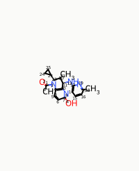 CC(=O)N1c2ccc(O)nc2[C@H](Nc2cccc(C)n2)[C@@H](C)[C@@H]1C1CC1